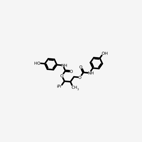 CC(C)C(OC(=O)Nc1ccc(O)cc1)C(C)COC(=O)Nc1ccc(O)cc1